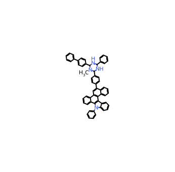 CN1C(c2ccc(-c3ccccc3)cc2)NC(c2ccccc2)NC1c1ccc(-c2cc3c4ccccc4c4c(c5ccccc5n4-c4ccccc4)c3c3ccccc23)cc1